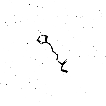 C=CC(=O)OCCOc1cscn1